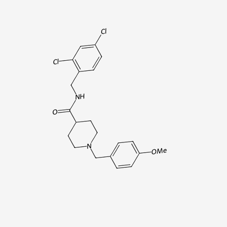 COc1ccc(CN2CCC(C(=O)NCc3ccc(Cl)cc3Cl)CC2)cc1